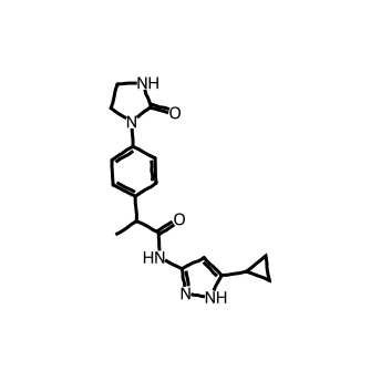 CC(C(=O)Nc1cc(C2CC2)[nH]n1)c1ccc(N2CCNC2=O)cc1